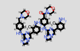 Cc1c(N)cccc1-c1cn2ccnc2c(Nc2ccc(C(=O)N3CCOCC3)cc2)n1.Cc1c(N)cccc1-c1cn2ccnc2c(Nc2ccc(CN3CCOCC3)cc2)n1